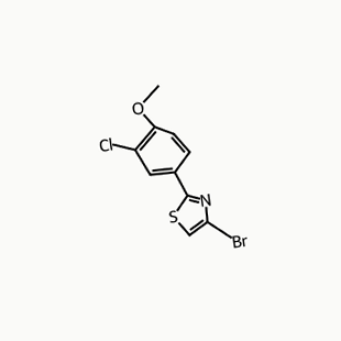 COc1ccc(-c2nc(Br)cs2)cc1Cl